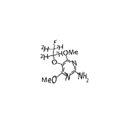 [2H]C([2H])(F)C([2H])([2H])Oc1c(OC)nc(N)nc1OC